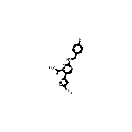 Cc1cc(-c2cnc(NCc3ccc(F)cc3)nc2C(C)F)on1